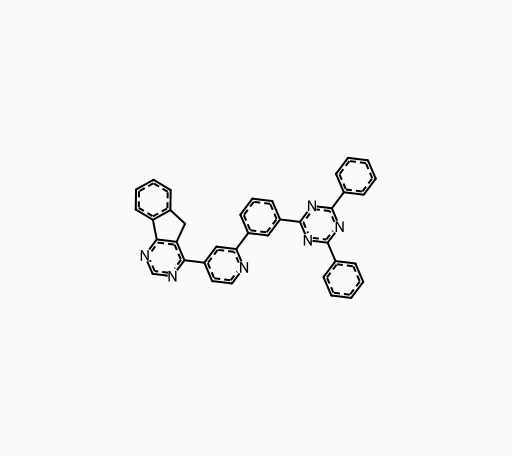 c1ccc(-c2nc(-c3ccccc3)nc(-c3cccc(-c4cc(-c5ncnc6c5Cc5ccccc5-6)ccn4)c3)n2)cc1